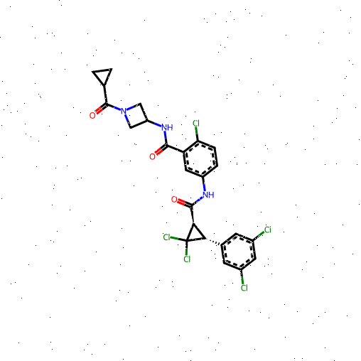 O=C(NC1CN(C(=O)C2CC2)C1)c1cc(NC(=O)[C@H]2[C@H](c3cc(Cl)cc(Cl)c3)C2(Cl)Cl)ccc1Cl